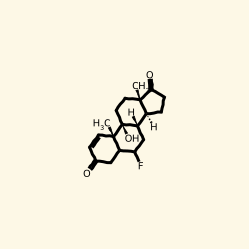 C[C@]12C=CC(=O)CC1C(F)C[C@H]1[C@@H]3CCC(=O)[C@@]3(C)CC[C@]12O